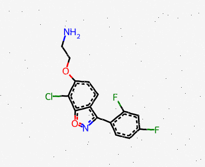 NCCOc1ccc2c(-c3ccc(F)cc3F)noc2c1Cl